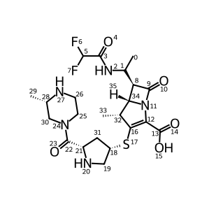 CC(NC(=O)C(F)F)[C@H]1C(=O)N2C(C(=O)O)=C(S[C@@H]3CN[C@H](C(=O)N4CCN[C@@H](C)C4)C3)[C@H](C)[C@H]12